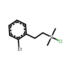 CCc1ccccc1CC[Si](C)(C)Cl